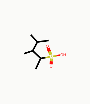 CC(C)C(C)C(C)S(=O)(=O)O